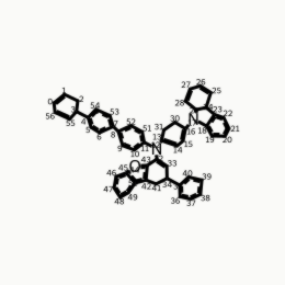 C1=CCC(c2ccc(-c3ccc(N(C4=CC=C(N5c6ccccc6C6C=CC=CC65)CC4)C4=CC(c5ccccc5)Cc5c4oc4ccccc54)cc3)cc2)C=C1